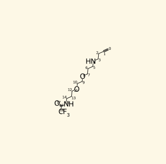 C#CCCNCCCOCCOCCCNC(=O)C(F)(F)F